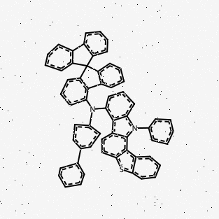 c1ccc(-c2ccc(N(c3cccc4c3-c3ccccc3C43c4ccccc4-c4ccccc43)c3cccc4c3c3ccc5sc6ccccc6c5c3n4-c3ccccc3)cc2)cc1